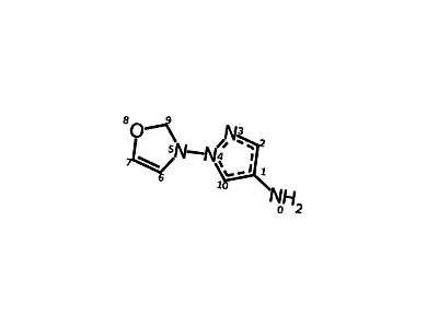 Nc1cnn(N2C=COC2)c1